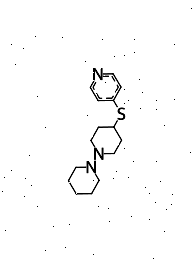 c1cc(SC2CCN(N3CCCCC3)CC2)ccn1